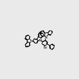 Brc1cc(-n2c3ccccc3c3cc(-n4c5ccccc5c5ccccc54)ccc32)c(-n2c3ccccc3c3ccccc32)cc1-c1ccccc1